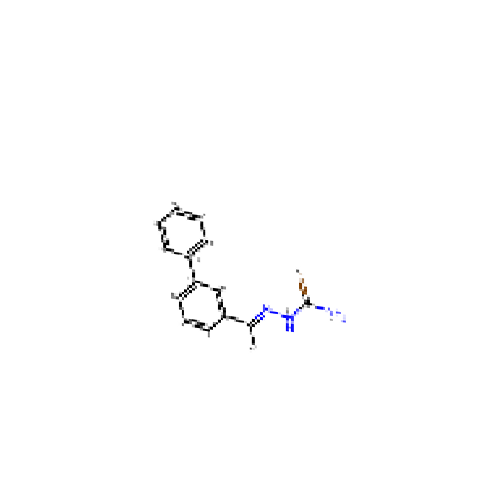 CC(=NNC(N)=S)c1cccc(-c2ccccc2)c1